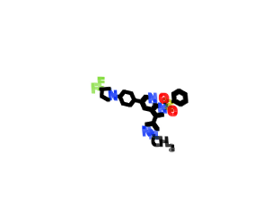 Cn1cc(-c2cn(S(=O)(=O)c3ccccc3)c3ncc(C4CCC(N5CCC(F)(F)C5)CC4)cc23)cn1